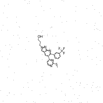 CSc1nccc(-c2cc3cn(CCCO)nc3nc2-c2cccc(C(F)(F)F)c2)n1